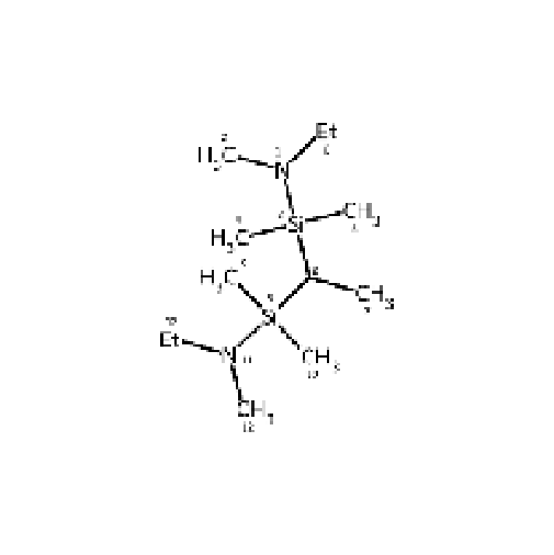 CCN(C)[Si](C)(C)C(C)[Si](C)(C)N(C)CC